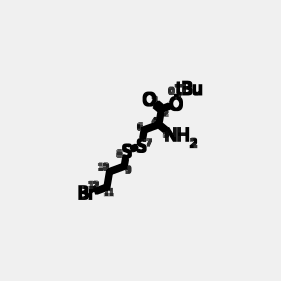 CC(C)(C)OC(=O)C(N)CSSCCCBr